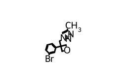 Cc1cn(CC2(c3cccc(Br)c3)COC2)nn1